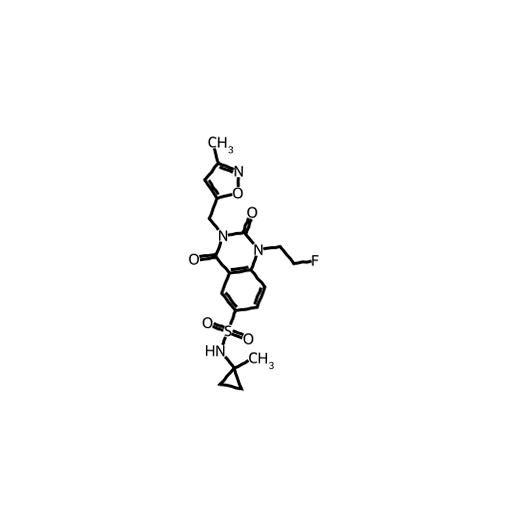 Cc1cc(Cn2c(=O)c3cc(S(=O)(=O)NC4(C)CC4)ccc3n(CCF)c2=O)on1